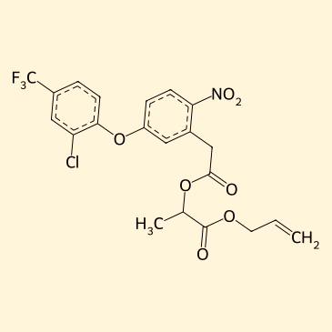 C=CCOC(=O)C(C)OC(=O)Cc1cc(Oc2ccc(C(F)(F)F)cc2Cl)ccc1[N+](=O)[O-]